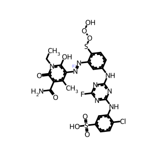 CCn1c(O)c(/N=N/c2cc(Nc3nc(F)nc(Nc4cc(S(=O)(=O)O)ccc4Cl)n3)ccc2SOOO)c(C)c(C(N)=O)c1=O